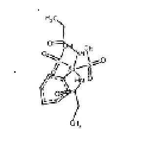 CCC(=O)N[As](NC(=O)CC)(c1ccccc1)(S(=O)(=O)O)S(=O)(=O)O